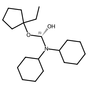 CCC1(O[C@H](O)N(C2CCCCC2)C2CCCCC2)CCCC1